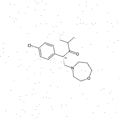 CC(C)C(=O)[C@H](CN1CCCOCC1)c1ccc(Cl)cc1